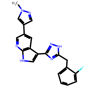 Cn1cc(-c2cnc3[nH]cc(-c4n[nH]c(Cc5ccccc5F)n4)c3c2)cn1